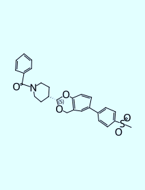 CS(=O)(=O)c1ccc(-c2ccc3c(c2)CO[C@H](C2CCN(C(=O)c4ccccc4)CC2)O3)cc1